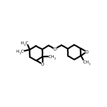 CC1(C)CC(COCC2CCC3(C)OC3C2)C2(C)OC2C1